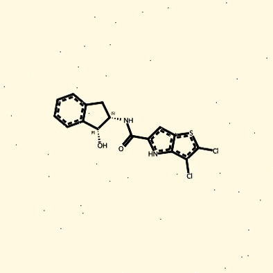 O=C(N[C@H]1Cc2ccccc2[C@H]1O)c1cc2sc(Cl)c(Cl)c2[nH]1